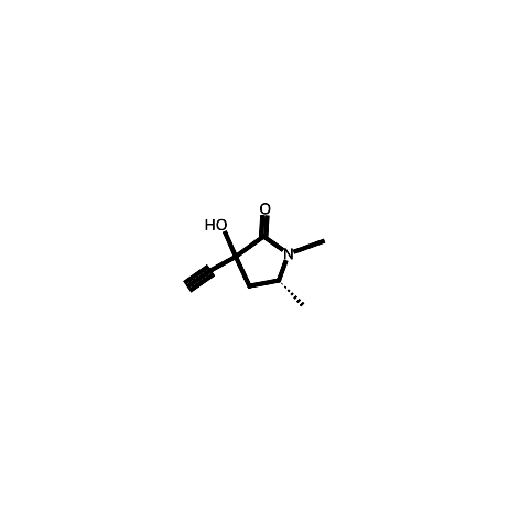 C#CC1(O)C[C@@H](C)N(C)C1=O